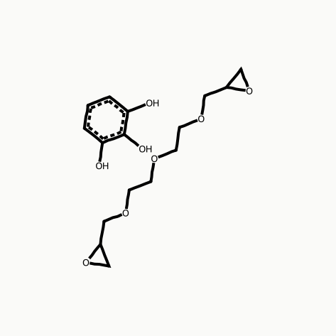 C(COCC1CO1)OCCOCC1CO1.Oc1cccc(O)c1O